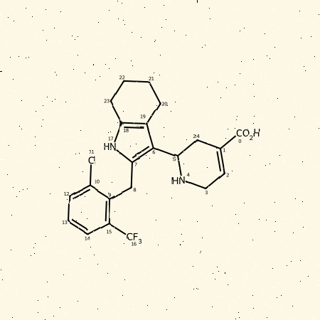 O=C(O)C1=CCNC(c2c(Cc3c(Cl)cccc3C(F)(F)F)[nH]c3c2CCCC3)C1